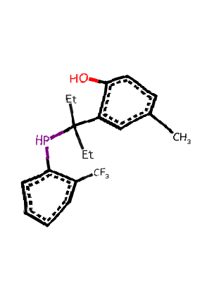 CCC(CC)(Pc1ccccc1C(F)(F)F)c1cc(C)ccc1O